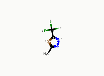 Cc1nnc(C(F)(F)F)s1